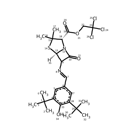 CC(C)(C)c1cc(/C=N/C2C(=O)N3[C@@H]2SC(C)(C)[C@@H]3C(=O)OCC(Cl)(Cl)Cl)cc(C(C)(C)C)c1O